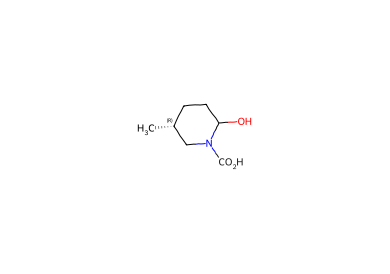 C[C@@H]1CCC(O)N(C(=O)O)C1